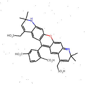 CC1(C)C=C(CS(=O)(=O)O)c2cc3c(cc2=N1)Oc1cc2c(cc1C=3c1cc(C(=O)O)ccc1C(=O)O)C(CS(=O)(=O)O)=CC(C)(C)N2